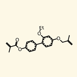 C=C(C)COc1ccc(-c2ccc(OC(=O)C(=C)C)cc2)c(OCC)c1